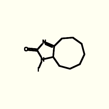 O=C1N=C2CCCCCCCC2N1I